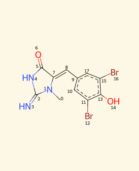 CN1C(=N)NC(=O)/C1=C/c1cc(Br)c(O)c(Br)c1